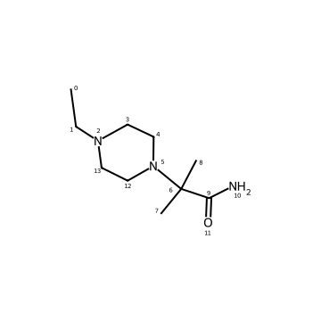 CCN1CCN(C(C)(C)C(N)=O)CC1